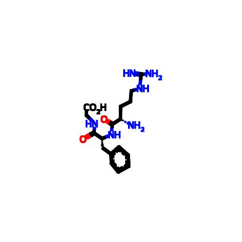 N=C(N)NCCC[C@H](N)C(=O)N[C@H](Cc1ccccc1)C(=O)NCC(=O)O